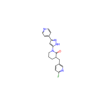 O=C1C(Cc2ccc(F)nc2)CCCN1c1cc(-c2ccncc2)n[nH]1